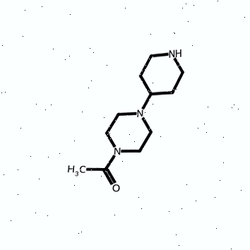 CC(=O)N1CCN(C2CCNCC2)CC1